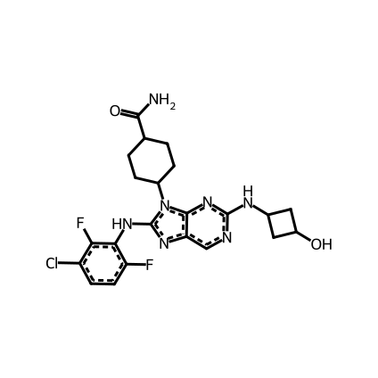 NC(=O)C1CCC(n2c(Nc3c(F)ccc(Cl)c3F)nc3cnc(NC4CC(O)C4)nc32)CC1